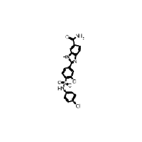 NC(=O)c1ccc2nc(-c3ccc(S(=O)(=O)Nc4ccc(Cl)cc4)c(Cl)c3)[nH]c2c1